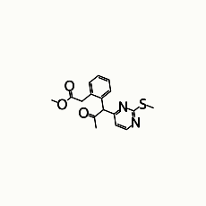 COC(=O)Cc1ccccc1C(C(C)=O)c1ccnc(SC)n1